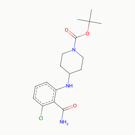 CC(C)(C)OC(=O)N1CCC(Nc2cccc(Cl)c2C(N)=O)CC1